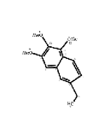 COc1cc2cc(CO)ccc2c(OC)c1OC